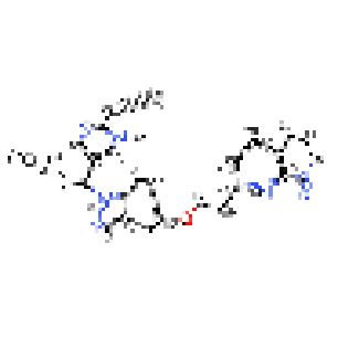 COc1ncc(C(CC(=O)O)n2ncc3cc(OCCc4ccc5c(n4)NCCC5)ccc32)cn1